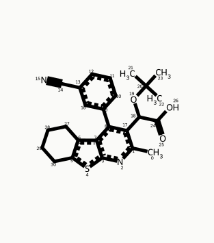 Cc1nc2sc3c(c2c(-c2cccc(C#N)c2)c1C(OC(C)(C)C)C(=O)O)CCCC3